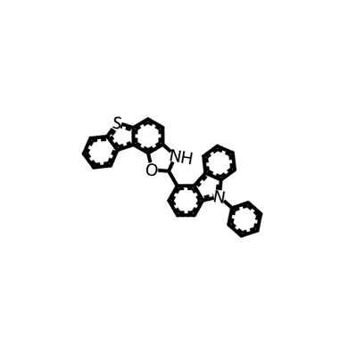 c1ccc(-n2c3ccccc3c3c(C4Nc5ccc6sc7ccccc7c6c5O4)cccc32)cc1